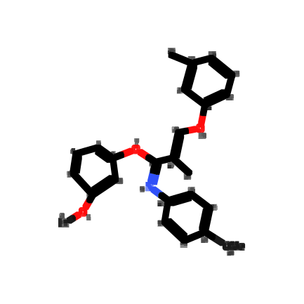 CCOc1cccc(OC(=Nc2ccc(OC)cc2)C(C)=COc2cccc(C)c2)c1